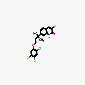 CCc1cc2ccc(C(C)(C#N)CCOc3cc(Cl)c(Cl)cc3Cl)cc2[nH]c1=O